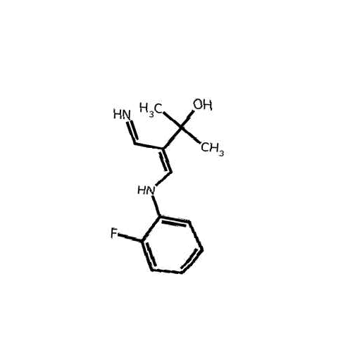 CC(C)(O)/C(C=N)=C/Nc1ccccc1F